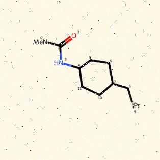 CNC(=O)NC1CCC(CC(C)C)CC1